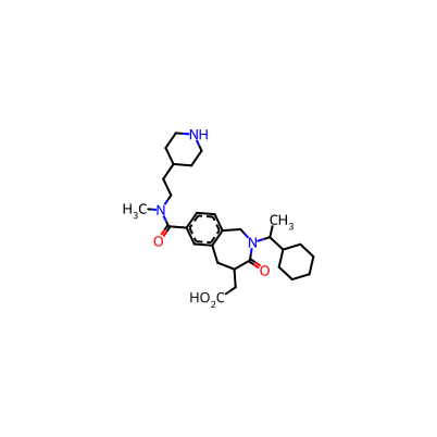 CC(C1CCCCC1)N1Cc2ccc(C(=O)N(C)CCC3CCNCC3)cc2CC(CC(=O)O)C1=O